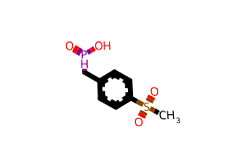 CS(=O)(=O)c1ccc(C[PH](=O)O)cc1